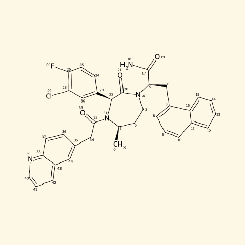 C[C@@H]1CCN([C@H](Cc2cccc3ccccc23)C(N)=O)C(=O)[C@H](c2ccc(F)c(Cl)c2)N1C(=O)Cc1ccc2ncccc2c1